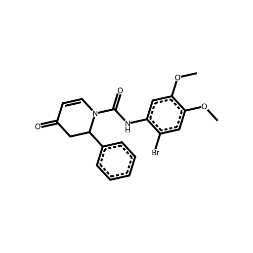 COc1cc(Br)c(NC(=O)N2C=CC(=O)CC2c2ccccc2)cc1OC